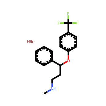 Br.CNCCC(Oc1ccc(C(F)(F)F)cc1)c1ccccc1